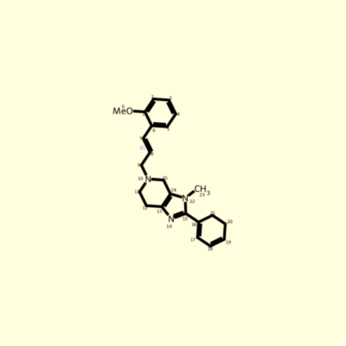 COc1ccccc1/C=C/CN1CCc2nc(C3=CC=CCC3)n(C)c2C1